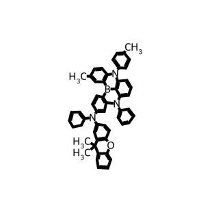 Cc1ccc(N2c3ccc(C)cc3B3c4ccc(N(C5=CC=CCC5)c5ccc6c(c5)C(C)(C)c5ccccc5O6)cc4N(c4ccccc4)c4cccc2c43)cc1